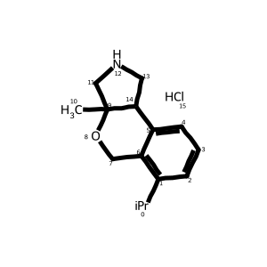 CC(C)c1cccc2c1COC1(C)CNCC21.Cl